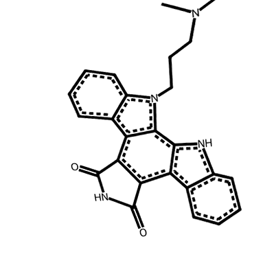 CN(C)CCCn1c2ccccc2c2c3c(c4c5ccccc5[nH]c4c21)C(=O)NC3=O